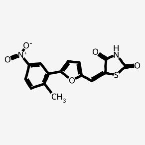 Cc1ccc([N+](=O)[O-])cc1-c1ccc(/C=C2/SC(=O)NC2=O)o1